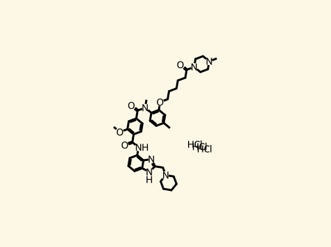 COc1cc(C(=O)N(C)c2ccc(C)cc2OCCCCCC(=O)N2CCN(C)CC2)ccc1C(=O)Nc1cccc2[nH]c(CN3CCCCC3)nc12.Cl.Cl.Cl